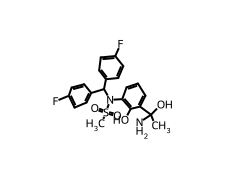 CC(N)(O)c1cccc(N(C(c2ccc(F)cc2)c2ccc(F)cc2)S(C)(=O)=O)c1O